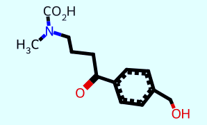 CN(CCCC(=O)c1ccc(CO)cc1)C(=O)O